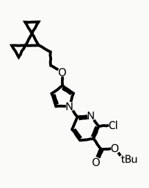 CC(C)(C)OC(=O)c1ccc(-n2ccc(OCCC3C4(CC4)C34CC4)c2)nc1Cl